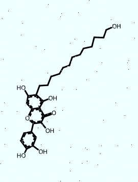 O=c1c(O)c(-c2ccc(O)c(O)c2)oc2cc(O)c(CCCCCCCCCCCCCO)c(O)c12